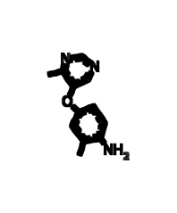 Cc1cc(Oc2cncnc2C)ccc1N